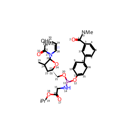 CNC(=O)c1cccc(-c2ccc(OP(NCC(=O)OC(C)C)OC[C@@H]3CC(C)C(N(/C=C\C=O)C(=O)NC)O3)cc2)c1